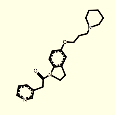 O=C(Cc1cccnc1)N1CCc2cc(OCCCN3CCCCC3)ccc21